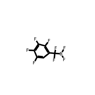 FB(F)C(F)(F)c1cc(F)c(F)c(F)c1F